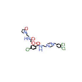 O=C(COc1cc(Cl)ccc1C(=O)NCCN1CCN(Cc2ccc(Cl)c(Cl)c2)CC1)NCCCN1CCCC1=O